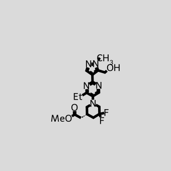 CCc1nc(-c2cnn(C)c2CO)ncc1N1C[C@@H](CC(=O)OC)CC(F)(F)C1